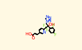 O=C(O)/C=C/c1ccc(C(F)(F)C(O)(Cn2cnnn2)c2ccc(F)cc2F)nc1